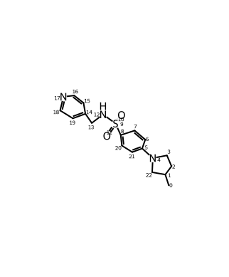 CC1CCN(c2ccc(S(=O)(=O)NCc3ccncc3)cc2)C1